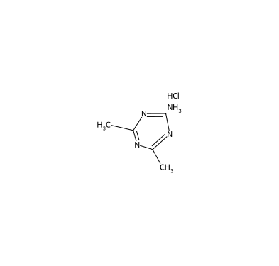 Cc1ncnc(C)n1.Cl.N